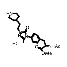 COC(=O)C(Cc1ccc(-n2c(C)nn(CCC3CCNCC3)c2=O)cc1)NC(C)=O.Cl